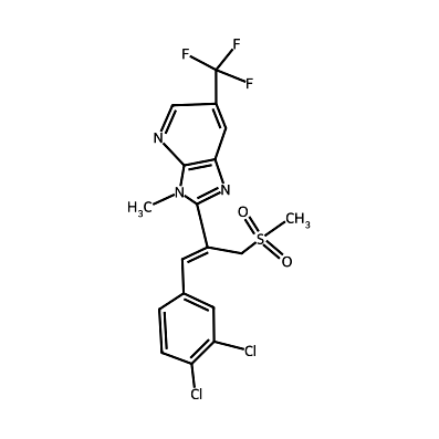 Cn1c(/C(=C/c2ccc(Cl)c(Cl)c2)CS(C)(=O)=O)nc2cc(C(F)(F)F)cnc21